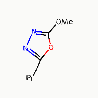 COc1nnc(C(C)C)o1